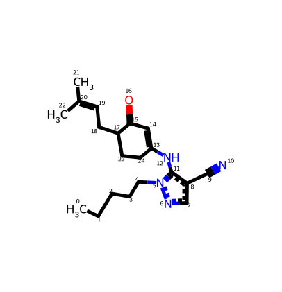 CCCCCn1ncc(C#N)c1NC1=CC(=O)C(CC=C(C)C)CC1